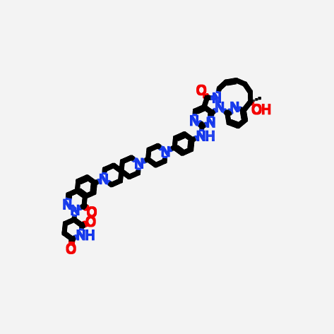 C[C@@]1(O)CC/C=C\Cn2c(=O)c3cnc(Nc4ccc(N5CCC(N6CCC7(CCN(c8ccc9cnn(C%10CCC(=O)NC%10=O)c(=O)c9c8)CC7)CC6)CC5)cc4)nc3n2-c2cccc1n2